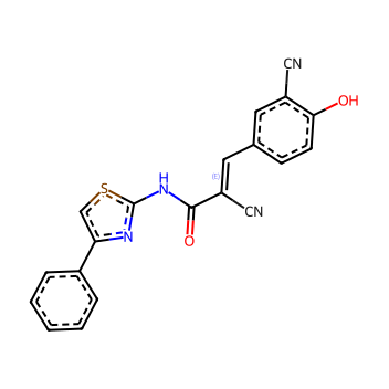 N#C/C(=C\c1ccc(O)c(C#N)c1)C(=O)Nc1nc(-c2ccccc2)cs1